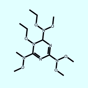 CCON(OC)C1N=C(N(OC)OC)N=C(N(C)OC)N1OCC